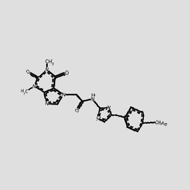 COc1ccc(-c2csc(NC(=O)Cn3cnc4c3c(=O)n(C)c(=O)n4C)n2)cc1